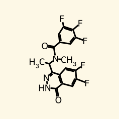 CC(c1n[nH]c(=O)c2cc(F)c(F)cc12)N(C)C(=O)c1cc(F)c(F)c(F)c1